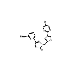 N#Cc1cccc(-c2ccc(=O)n(Cc3cc(-c4ncc(Br)cn4)cs3)n2)c1